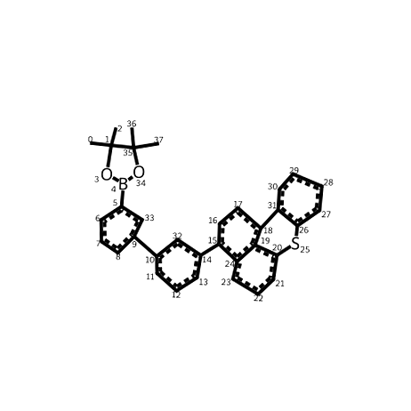 CC1(C)OB(c2cccc(-c3cccc(-c4ccc5c6c(cccc46)Sc4ccccc4-5)c3)c2)OC1(C)C